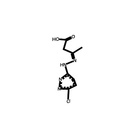 C/C(CC(=O)O)=N/Nc1ccc(Cl)nn1